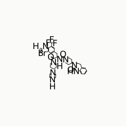 Nc1c(Br)cc(C[C@@H](NC(=O)N2CCC(N3CCc4ccccc4NC3=O)CC2)C(=O)N2CCC(N3CCNCC3)CC2)cc1C(F)(F)F